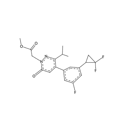 COC(=O)Cn1nc(C(C)C)c(-c2cc(F)cc(C3CC3(F)F)c2)cc1=O